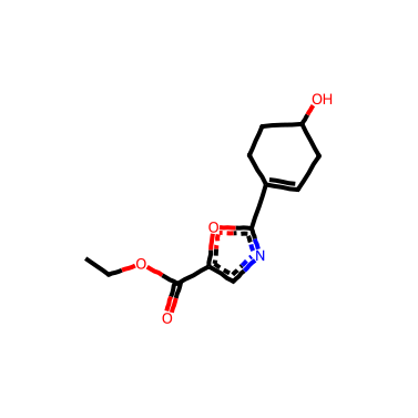 CCOC(=O)c1cnc(C2=CCC(O)CC2)o1